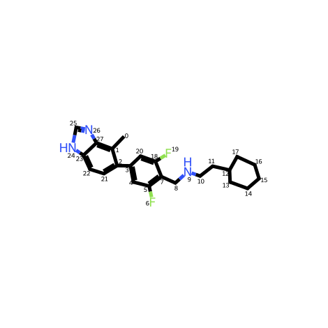 Cc1c(-c2cc(F)c(CNCCC3CCCCC3)c(F)c2)ccc2[nH]cnc12